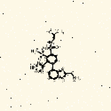 C[C@H](O)CNS(=O)(=O)c1ccc(-c2cccc3[nH]c(CN)nc23)c(-c2nn[nH]n2)c1S(N)(=O)=O